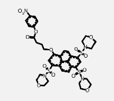 O=C(CCCOc1cc(S(=O)(=O)N2CCOCC2)c2ccc3c(S(=O)(=O)N4CCOCC4)cc(S(=O)(=O)N4CCOCC4)c4ccc1c2c43)Oc1ccc([N+](=O)[O-])cc1